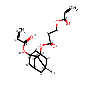 C=CC(=O)OCCC(=O)OC12CC3C[C@@H](CC(OC(=O)C=C)(C3)C1)C2